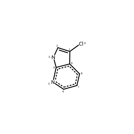 ClC1=C[N]c2ncccc21